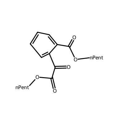 CCCCCOC(=O)C(=O)c1ccccc1C(=O)OCCCCC